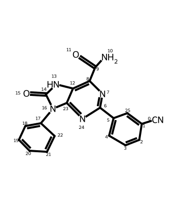 N#Cc1cccc(-c2nc(C(N)=O)c3[nH]c(=O)n(-c4ccccc4)c3n2)c1